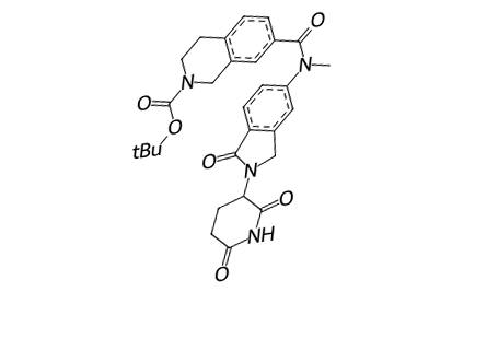 CN(C(=O)c1ccc2c(c1)CN(C(=O)OC(C)(C)C)CC2)c1ccc2c(c1)CN(C1CCC(=O)NC1=O)C2=O